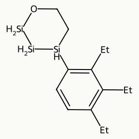 CCc1ccc([SiH]2CCO[SiH2][SiH2]2)c(CC)c1CC